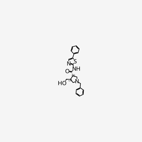 O=C(Nc1ncc(-c2ccccc2)s1)[C@@H]1CN(Cc2ccccc2)C[C@H]1CO